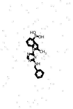 Cc1cc2c(B(O)O)cccc2n1-c1ncnc(NCc2ccccc2)n1